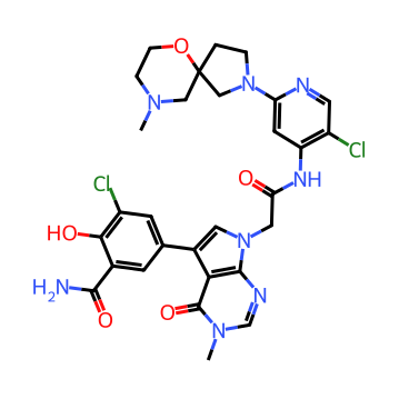 CN1CCOC2(CCN(c3cc(NC(=O)Cn4cc(-c5cc(Cl)c(O)c(C(N)=O)c5)c5c(=O)n(C)cnc54)c(Cl)cn3)C2)C1